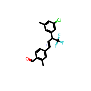 Cc1cc(Cl)cc(C(/C=C/c2ccc(C=O)c(C)c2)C(F)(F)F)c1